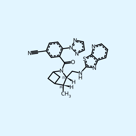 C[C@@H]1C2CC(C2)N(C(=O)c2cc(C#N)ccc2-n2nccn2)[C@@H]1CNc1nc2cccnc2s1